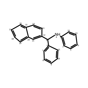 c1ccc(N[C](c2ccccc2)c2ccc3ccccc3c2)cc1